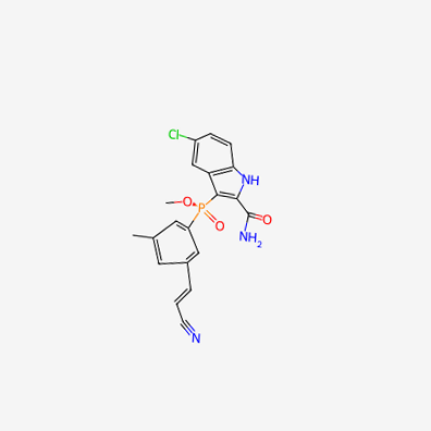 CO[P@@](=O)(c1cc(C)cc(/C=C/C#N)c1)c1c(C(N)=O)[nH]c2ccc(Cl)cc12